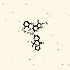 COc1c(Cl)cccc1Nc1cc(Nc2ccc(C(=O)N3CCCC3)c(C(F)(F)F)n2)nc2[nH]n(C)c(=O)c12